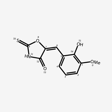 COc1cccc(/C=C2/OC(=S)NC2=O)c1O